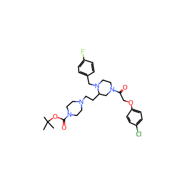 CC(C)(C)OC(=O)N1CCN(CCC2CN(C(=O)COc3ccc(Cl)cc3)CCN2Cc2ccc(F)cc2)CC1